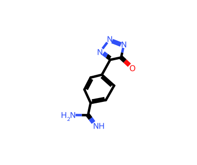 N=C(N)c1ccc(C2=NN=NC2=O)cc1